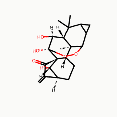 C=C1C(=O)[C@]23[C@@H](O)[C@H]1CC[C@H]2[C@]1(C)C2OO[C@]3(O)[C@@H](O)[C@@H]1C(C)(C)C1CC12